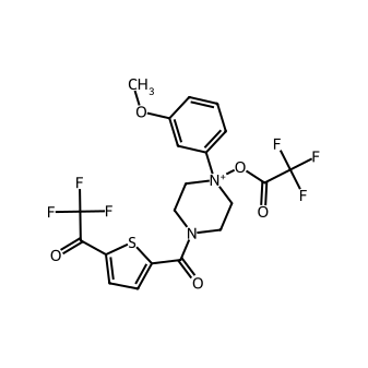 COc1cccc([N+]2(OC(=O)C(F)(F)F)CCN(C(=O)c3ccc(C(=O)C(F)(F)F)s3)CC2)c1